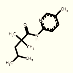 Cc1ccc(NC(=O)C(C)(C)CC(C)C)nc1